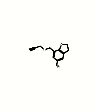 C#CCOCc1cc(CCC)cc2c1OCC2